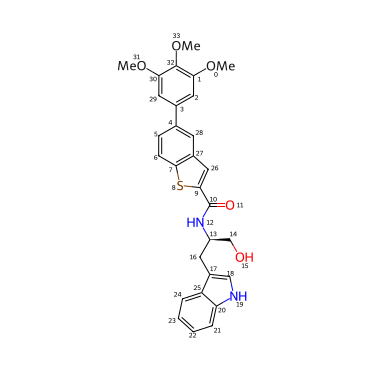 COc1cc(-c2ccc3sc(C(=O)N[C@@H](CO)Cc4c[nH]c5ccccc45)cc3c2)cc(OC)c1OC